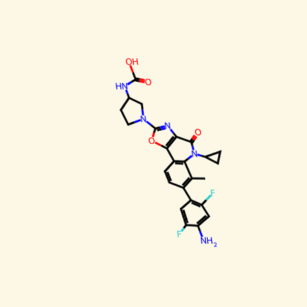 Cc1c(-c2cc(F)c(N)cc2F)ccc2c3oc(N4CCC(NC(=O)O)C4)nc3c(=O)n(C3CC3)c12